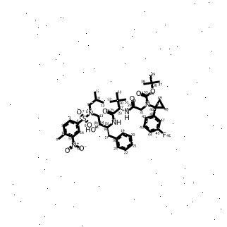 Cc1ccc(S(=O)(=O)N(CC(C)C)C[C@@H](O)[C@H](Cc2ccccc2)NC(=O)[C@@H](NC(=O)CN(C(=O)OC(C)(C)C)C2(c3cccc(F)c3)CC2)C(C)(C)C)cc1[N+](=O)[O-]